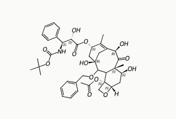 CC(=O)O[C@@]12CO[C@H]1C[C@H](O)[C@@]1(C)C(=O)[C@H](O)C3=C(C)[C@@H](OC(=O)[C@@H](O)[C@@H](NC(=O)OC(C)(C)C)c4ccccc4)C[C@](O)(C3)C(OCc3ccccc3)C12